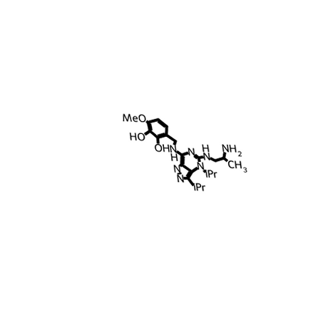 COc1ccc(CNc2nc(NCC(C)N)n(C(C)C)c3c(C(C)C)nnc2-3)c(O)c1O